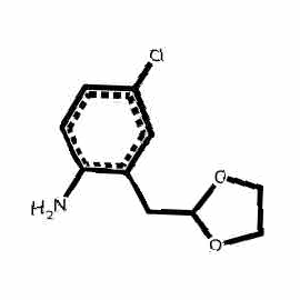 Nc1ccc(Cl)cc1C[C]1OCCO1